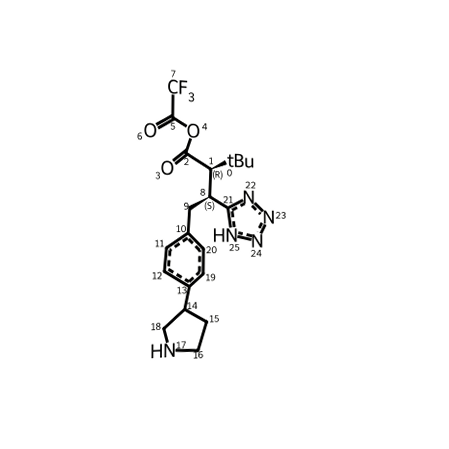 CC(C)(C)[C@H](C(=O)OC(=O)C(F)(F)F)[C@H](Cc1ccc(C2CCNC2)cc1)c1nnn[nH]1